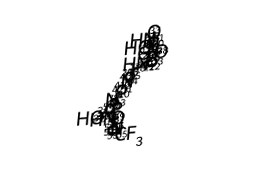 CC(C)(O)c1cc2nc([C@H]3CC[C@H](N4CCC(CCNc5cccc6c5C(=O)N(C5CCC(=O)NC5O)C6=O)CC4)CC3)sc2cc1NC(=O)c1cccc(C(F)(F)F)n1